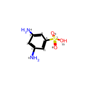 Nc1cc(N)cc(S(=O)(=O)O)c1